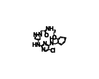 COc1ccccc1CNc1nc(Nc2cnn(CC(N)=O)c2)ncc1Cl